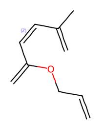 C=CCOC(=C)/C=C\C(=C)C